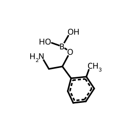 Cc1ccccc1C(CN)OB(O)O